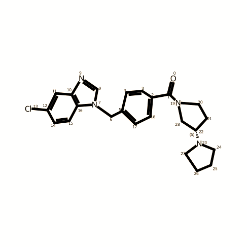 O=C(c1ccc(Cn2cnc3cc(Cl)ccc32)cc1)N1CC[C@H](N2CCCC2)C1